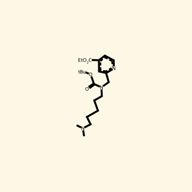 CCOC(=O)c1ccnc(CN(CCCCCN(C)C)C(=O)OC(C)(C)C)c1